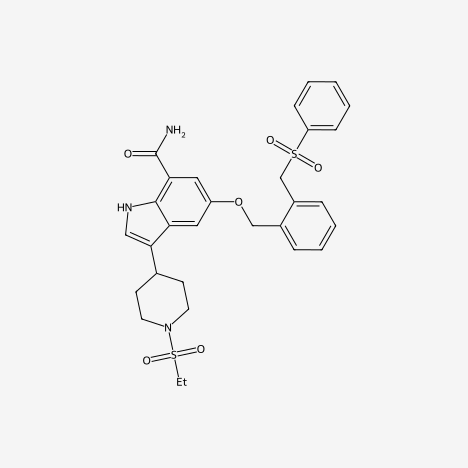 CCS(=O)(=O)N1CCC(c2c[nH]c3c(C(N)=O)cc(OCc4ccccc4CS(=O)(=O)c4ccccc4)cc23)CC1